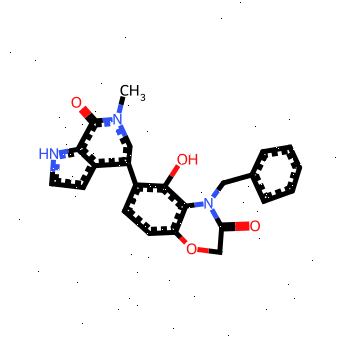 Cn1cc(-c2ccc3c(c2O)N(Cc2ccccc2)C(=O)CO3)c2cc[nH]c2c1=O